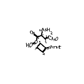 CCCCCC1CCC1.O=CCC([AsH2])C(=O)OO